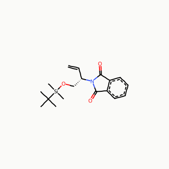 C=C[C@@H](CO[Si](C)(C)C(C)(C)C)N1C(=O)c2ccccc2C1=O